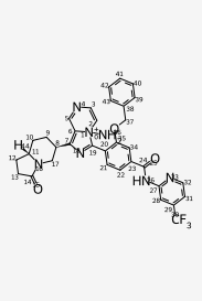 N[N+]12C=CN=CC1=C([C@@H]1CC[C@H]3CCC(=O)N3C1)N=C2c1ccc(C(=O)Nc2cc(C(F)(F)F)ccn2)cc1OCc1ccccc1